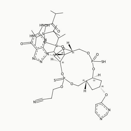 CC(C)C(=O)Nc1nc2c(nnn2[C@@H]2O[C@@H]3COP(=O)(S)O[C@H]4C[C@H](Oc5ccncn5)C[C@@H]4COP(=S)(OCCC#N)O[C@@H]2[C@@H]3O[Si](O[Si](O)(C(C)C)C(C)C)(C(C)C)C(C)C)c(=O)[nH]1